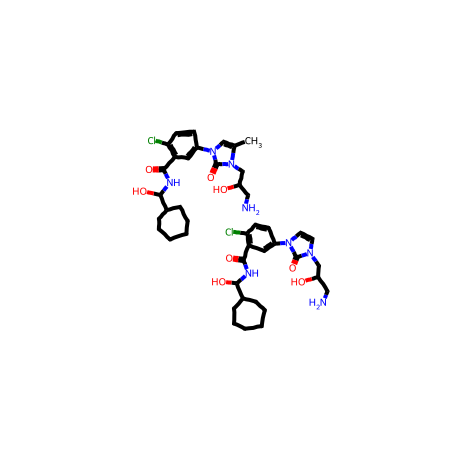 Cc1cn(-c2ccc(Cl)c(C(=O)NC(O)C3CCCCCC3)c2)c(=O)n1CC(O)CN.NCC(O)Cn1ccn(-c2ccc(Cl)c(C(=O)NC(O)C3CCCCCC3)c2)c1=O